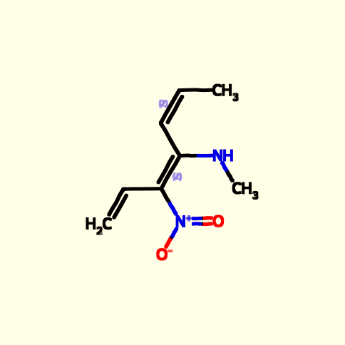 C=C/C(=C(\C=C/C)NC)[N+](=O)[O-]